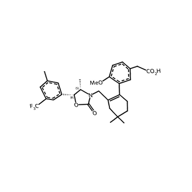 COc1ccc(CC(=O)O)cc1C1=C(CN2C(=O)O[C@H](c3cc(C)cc(C(F)(F)F)c3)[C@@H]2C)CC(C)(C)CC1